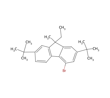 CCC1(C)c2cc(C(C)(C)C)ccc2-c2c(Br)cc(C(C)(C)C)cc21